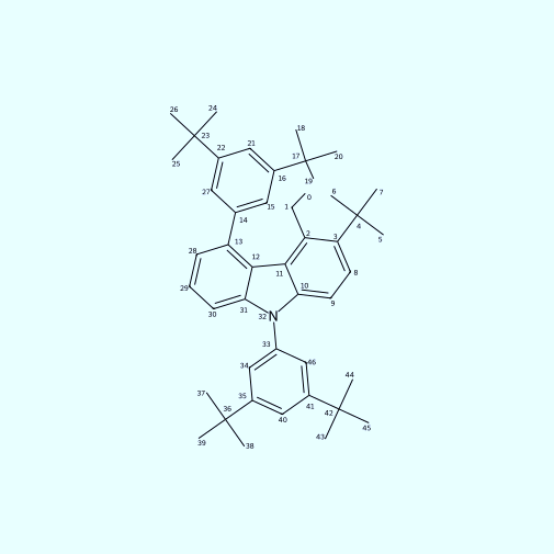 CCc1c(C(C)(C)C)ccc2c1c1c(-c3cc(C(C)(C)C)cc(C(C)(C)C)c3)cccc1n2-c1cc(C(C)(C)C)cc(C(C)(C)C)c1